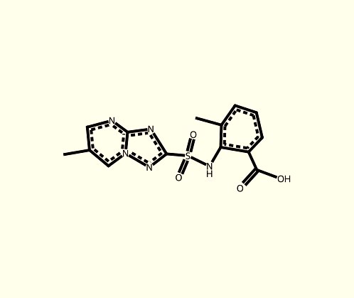 Cc1cnc2nc(S(=O)(=O)Nc3c(C)cccc3C(=O)O)nn2c1